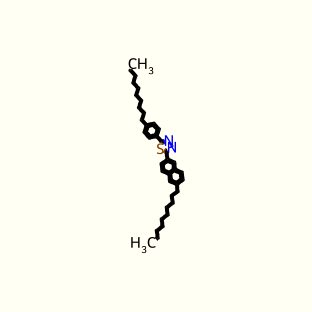 CCCCCCCCCCc1ccc(-c2nnc(-c3ccc4cc(CCCCCCCCCC)ccc4c3)s2)cc1